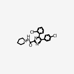 O=C(NN1CCCCC1)c1ncc(-c2ccc(Cl)cc2)c(-c2ccccc2Cl)n1